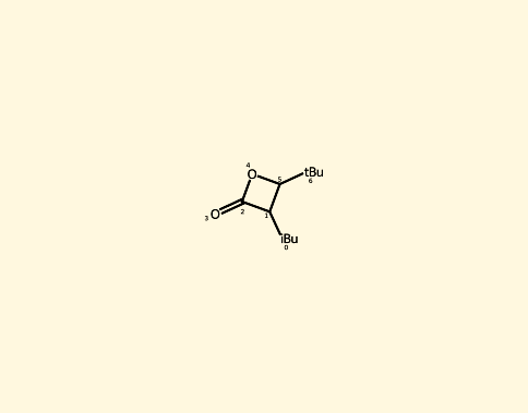 CCC(C)C1C(=O)OC1C(C)(C)C